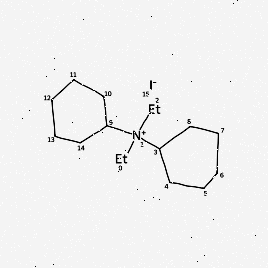 CC[N+](CC)(C1CCCCC1)C1CCCCC1.[I-]